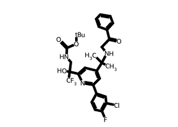 CC(C)(C)OC(=O)NCC(O)(c1cc(C(C)(C)NCC(=O)c2ccccc2)cc(-c2ccc(F)c(Cl)c2)n1)C(F)(F)F